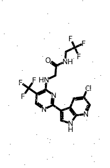 O=C(CNc1nc(-c2c[nH]c3ncc(Cl)cc23)ncc1C(F)(F)F)NCC(F)(F)F